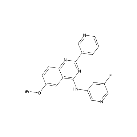 CC(C)Oc1ccc2nc(-c3cccnc3)nc(Nc3cncc(F)c3)c2c1